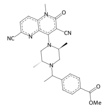 COC(=O)c1ccc(C(C)N2C[C@H](C)N(c3c(C#N)c(=O)n(C)c4ccc(C#N)nc34)C[C@H]2C)cc1